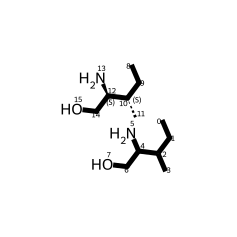 CCC(C)C(N)CO.CC[C@H](C)[C@H](N)CO